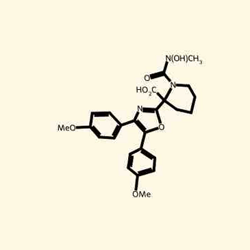 COc1ccc(-c2nc(C3(C(=O)O)CCCCN3C(=O)N(C)O)oc2-c2ccc(OC)cc2)cc1